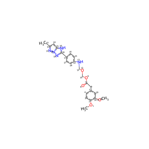 COc1ccc(CC(=O)OCOCNc2ccc(-c3nn4nc(C)cc4[nH]3)cc2)cc1OC